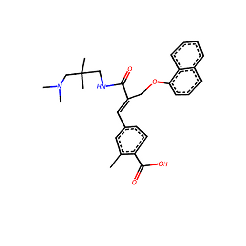 Cc1cc(/C=C(\COc2cccc3ccccc23)C(=O)NCC(C)(C)CN(C)C)ccc1C(=O)O